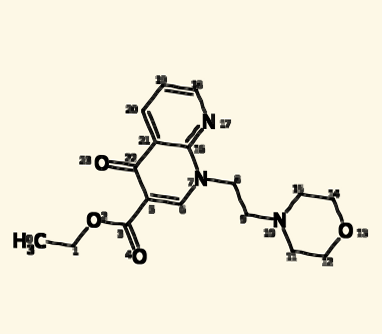 CCOC(=O)c1cn(CCN2CCOCC2)c2ncccc2c1=O